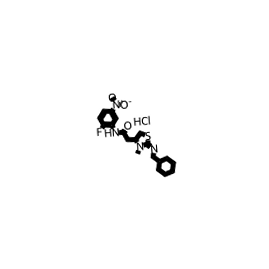 CN1/C(=N\CC2CCCCC2)SCC1CC(=O)Nc1cc([N+](=O)[O-])ccc1F.Cl